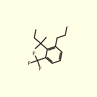 [CH2]CCc1cccc(C(F)(F)F)c1C(C)(C)CC